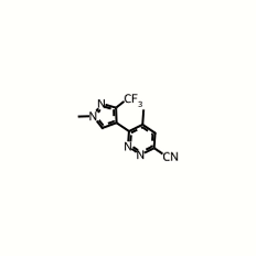 Cc1cc(C#N)nnc1-c1cn(C)nc1C(F)(F)F